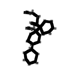 CCCCCCCOC(=O)C1([C@]2(CCCCCCC)CC[C@H](C3CCCCC3)CC2)CCCCC1